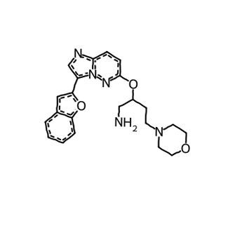 NCC(CCN1CCOCC1)Oc1ccc2ncc(-c3cc4ccccc4o3)n2n1